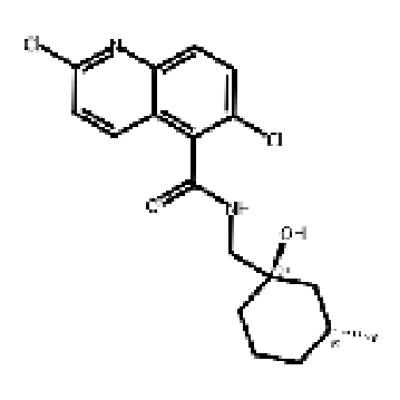 C[C@@H]1CCC[C@](O)(CNC(=O)c2c(Cl)ccc3nc(Cl)ccc23)C1